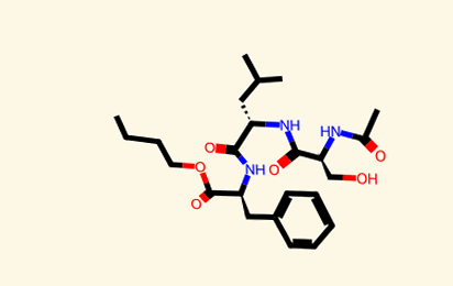 CCCCOC(=O)[C@H](Cc1ccccc1)NC(=O)[C@H](CC(C)C)NC(=O)[C@H](CO)NC(C)=O